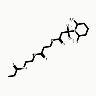 CC1CCCC(O)N1C(C)(C)CC(=O)NCCC(=O)NCCNC(=O)CI